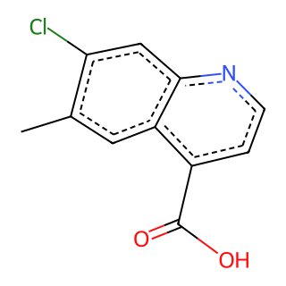 Cc1cc2c(C(=O)O)ccnc2cc1Cl